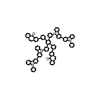 O=c1c2ccccc2ccc2cc(-c3cccc(-c4cc(-c5cccc(-n6c7ccccc7c7cc(-c8ccc9c(c8)c8ccccc8n9-c8ccccc8)ccc76)c5)c(-c5cccc(-c6ccc7ccc8ccccc8c(=O)c7c6)c5)cc4-c4cccc(-n5c6ccccc6c6cc(-c7ccc8c(c7)c7ccccc7n8-c7ccccc7)ccc65)c4)c3)ccc12